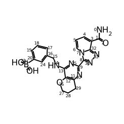 NC(=O)c1cccn2c(-c3nc4c(c(NCc5cccc(B(O)O)c5)n3)OCCC4)nnc12